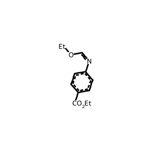 CCO/C=N\c1ccc(C(=O)OCC)cc1